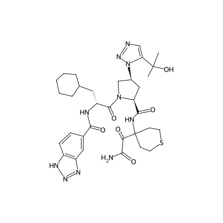 CC(C)(O)c1cnnn1[C@H]1C[C@@H](C(=O)NC2(C(=O)C(N)=O)CCSCC2)N(C(=O)[C@@H](CC2CCCCC2)NC(=O)c2ccc3[nH]nnc3c2)C1